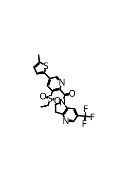 CCS(=O)(=O)c1cc(-c2ccc(C)s2)cnc1C(=O)N1CCc2ncc(C(F)(F)F)cc21